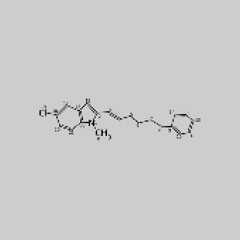 Cn1c(/C=C/CCCCc2ccccc2)cc2cc(Cl)ccc21